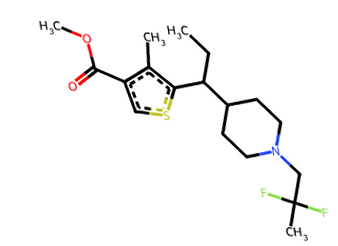 CCC(c1scc(C(=O)OC)c1C)C1CCN(CC(C)(F)F)CC1